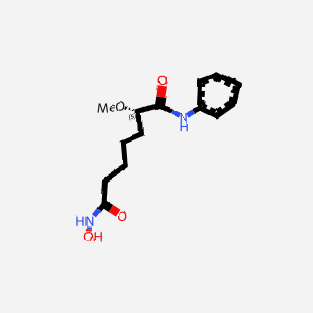 CO[C@@H](CCCCC(=O)NO)C(=O)Nc1ccccc1